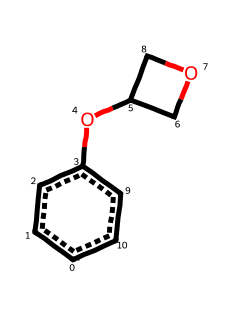 [c]1ccc(OC2COC2)cc1